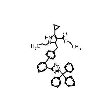 CCCN1NC(C2CC2)=C(C(=O)OCC)C1Cc1ccc(-c2ccccc2-c2nnn(C(c3ccccc3)(c3ccccc3)c3ccccc3)n2)cc1